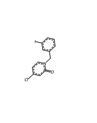 O=c1cc(Cl)ccn1Cc1cccc(I)c1